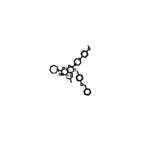 COc1ccc(N2CCN(C(=O)[C@H](Cc3ccc(OCc4ccccc4)cc3)NC(=O)[C@H](CC(C)C)NC(=O)N3CCCCCC3)CC2)cc1